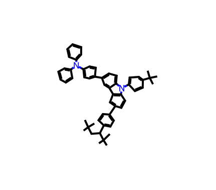 CC(C)(C)CC(c1ccc(-c2ccc3c(c2)c2cc(-c4ccc(N(c5ccccc5)c5ccccc5)cc4)ccc2n3-c2ccc(C(C)(C)C)cc2)cc1)C(C)(C)C